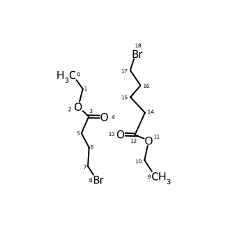 CCOC(=O)CCCBr.CCOC(=O)CCCCBr